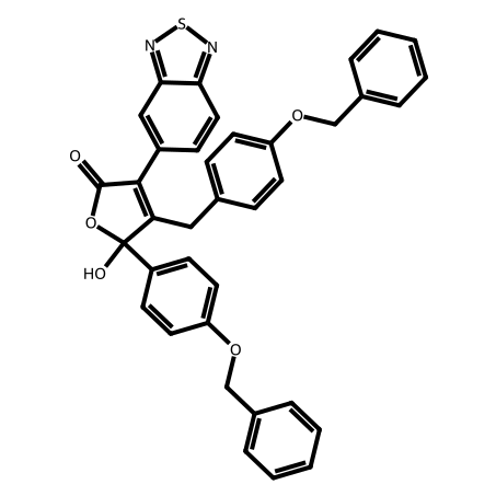 O=C1OC(O)(c2ccc(OCc3ccccc3)cc2)C(Cc2ccc(OCc3ccccc3)cc2)=C1c1ccc2nsnc2c1